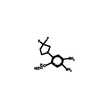 Cl.Cl.Nc1cc(Cl)c(N2CCC(F)(F)C2)cc1N